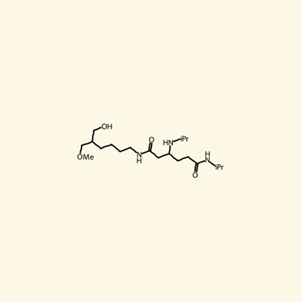 COCC(CO)CCCCNC(=O)CC(CCC(=O)NC(C)C)NC(C)C